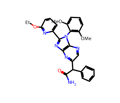 CCOc1cccc(-c2nc3nc(C(C(N)=O)c4ccccc4)cnc3n2-c2c(OC)cccc2OC)n1